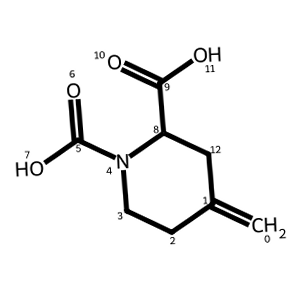 C=C1CCN(C(=O)O)C(C(=O)O)C1